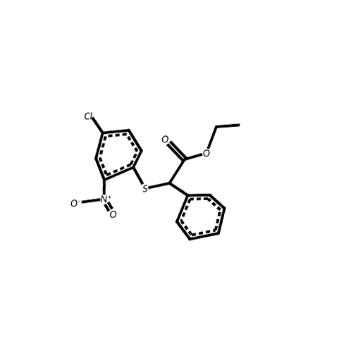 CCOC(=O)C(Sc1ccc(Cl)cc1[N+](=O)[O-])c1ccccc1